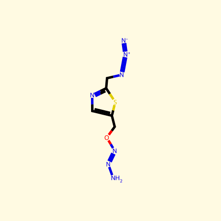 [N-]=[N+]=NCc1ncc(CON=NN)s1